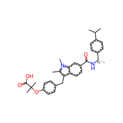 Cc1c(Cc2ccc(OC(C)(C)C(=O)O)cc2)c2ccc(C(=O)N[C@@H](C)c3ccc(C(C)C)cc3)cc2n1C